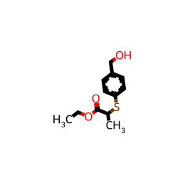 CCOC(=O)C(C)Sc1ccc(CO)cc1